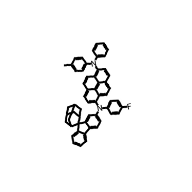 Cc1ccc(N(c2ccccc2)c2ccc3ccc4c(N(c5ccc(F)cc5)c5ccc6c(c5)C5(c7ccccc7-6)C6CC7CC(C6)CC5C7)ccc5ccc2c3c54)cc1